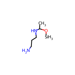 CC(NCCCN)O[SiH3]